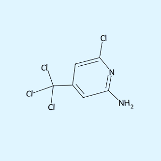 Nc1cc(C(Cl)(Cl)Cl)cc(Cl)n1